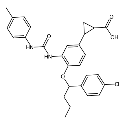 CCCC(Oc1ccc(C2CC2C(=O)O)cc1NC(=O)Nc1ccc(C)cc1)c1ccc(Cl)cc1